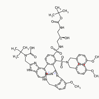 COc1ccc(CN(Cc2ccc(OC)cc2)S(=O)(=O)c2c(S(=O)(=O)NC[C@H](O)CNC(=O)OC(C)(C)C)ccc(-c3cccc4[nH]c(CN(C(=O)O)C(C)(C)C)nc34)c2C2=N\c3cc(ccc3OC)CN\N=N\2)cc1